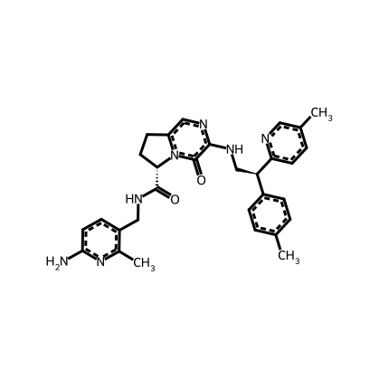 Cc1ccc([C@@H](CNc2ncc3n(c2=O)[C@H](C(=O)NCc2ccc(N)nc2C)CC3)c2ccc(C)cn2)cc1